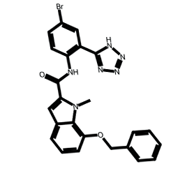 Cn1c(C(=O)Nc2ccc(Br)cc2-c2nnn[nH]2)cc2cccc(OCc3ccccc3)c21